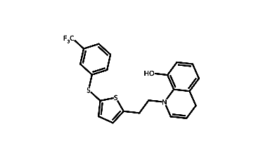 Oc1cccc2c1N(CCc1ccc(Sc3cccc(C(F)(F)F)c3)s1)C=CC2